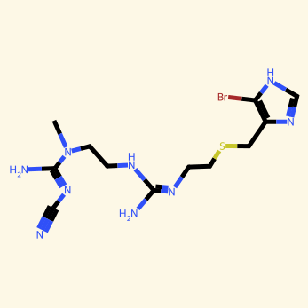 CN(CCNC(N)=NCCSCc1nc[nH]c1Br)C(N)=NC#N